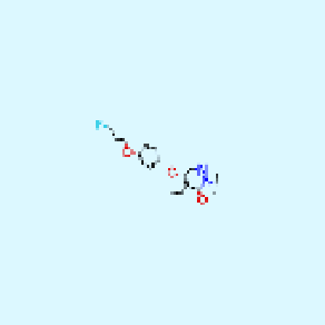 CCc1c(OCc2ccc(OCCCF)cc2)cnn(C(C)(C)C)c1=O